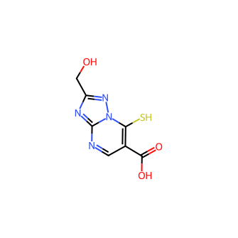 O=C(O)c1cnc2nc(CO)nn2c1S